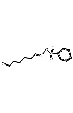 O=CCCCC/C=N/OS(=O)(=O)c1ccccc1